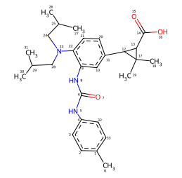 Cc1ccc(NC(=O)Nc2cc(C3C(C(=O)O)C3(C)C)ccc2N(CC(C)C)CC(C)C)cc1